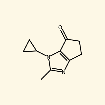 Cc1nc2c(n1C1CC1)C(=O)CC2